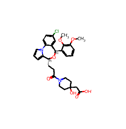 COc1cccc([C@H]2O[C@H](CCC(=O)N3CCC(O)(CC(=O)O)CC3)c3cccn3-c3ccc(Cl)cc32)c1OC